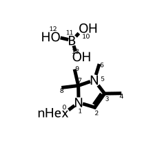 CCCCCCN1C=C(C)N(C)C1(C)C.OB(O)O